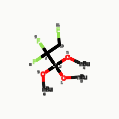 CCCCO[Si](OCCCC)(OCCCC)C(F)(F)CF